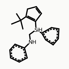 CC(C)(C)C1=C([SiH](CNc2ccccc2)c2ccccc2)C=CC1